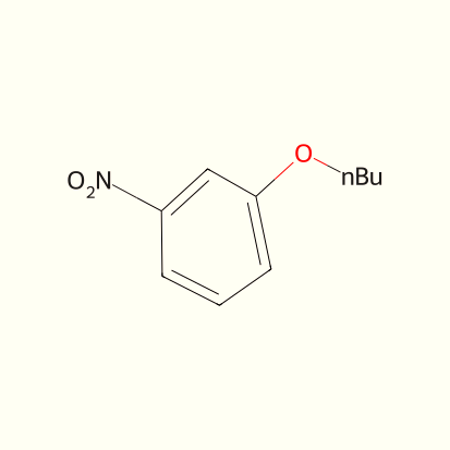 CCCCOc1cccc([N+](=O)[O-])c1